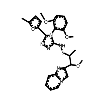 COc1cccc(OC)c1-n1c(NSC(C)C(OC)c2cn3ccccc3n2)nnc1-c1ccc(C)o1